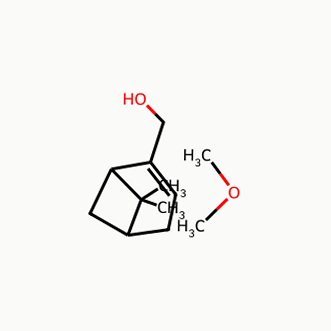 CC1(C)C2CC=C(CO)C1C2.COC